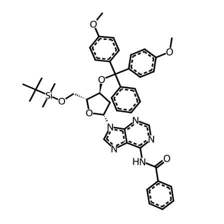 COc1ccc(C(O[C@H]2C[C@H](n3cnc4c(NC(=O)c5ccccc5)ncnc43)O[C@@H]2CO[Si](C)(C)C(C)(C)C)(c2ccccc2)c2ccc(OC)cc2)cc1